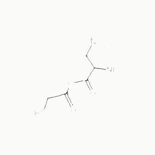 NCC(N)C(=O)OC(=O)CS